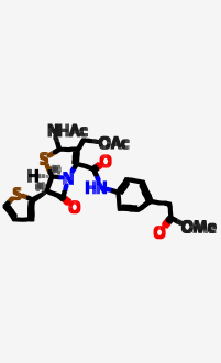 COC(=O)Cc1ccc(NC(=O)C2=C(COC(C)=O)C(NC(C)=O)S[C@@H]3[C@H](c4cccs4)C(=O)N23)cc1